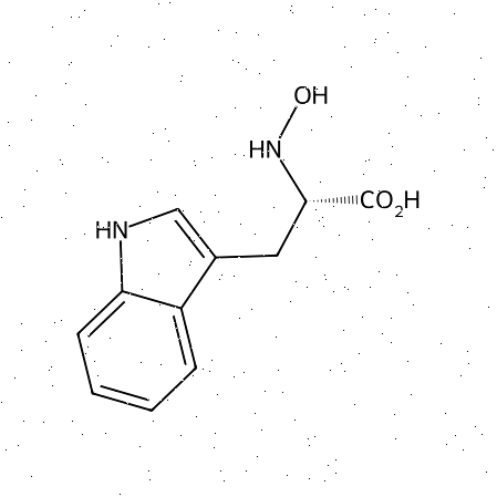 O=C(O)[C@H](Cc1c[nH]c2ccccc12)NO